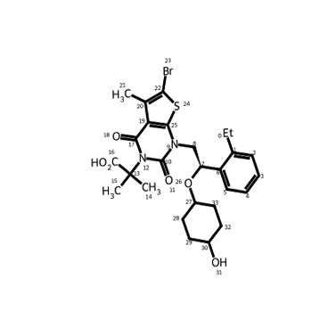 CCc1ccccc1[C@H](Cn1c(=O)n(C(C)(C)C(=O)O)c(=O)c2c(C)c(Br)sc21)OC1CCC(O)CC1